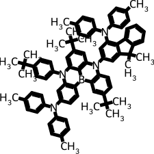 Cc1ccc(N(c2ccc(C)cc2)c2ccc3c(c2)N(c2ccc(C(C)(C)C)cc2)c2cc(C(C)(C)C)cc4c2B3c2cc(C(C)(C)C)ccc2N4c2cc(N(c3ccc(C)cc3)c3ccc(C)cc3)c3c(c2)C(C)(C)c2ccccc2-3)cc1